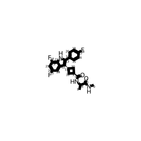 CNC(=O)C(C)NC(=O)[C@H]1C[C@H](c2c(-c3ccc(F)cc3)[nH]c3c(F)cc(F)cc32)C1